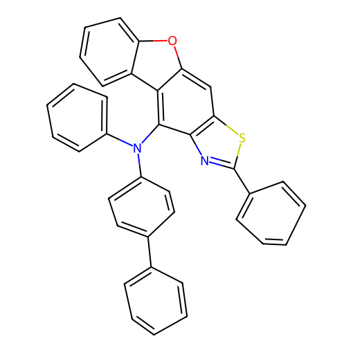 c1ccc(-c2ccc(N(c3ccccc3)c3c4nc(-c5ccccc5)sc4cc4oc5ccccc5c34)cc2)cc1